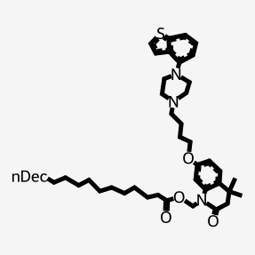 CCCCCCCCCCCCCCCCCCCCC(=O)OCN1C(=O)CC(C)(C)c2ccc(OCCCCN3CCN(c4cccc5sccc45)CC3)cc21